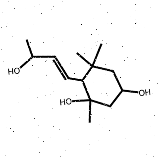 CC(O)/C=C/C1C(C)(C)CC(O)CC1(C)O